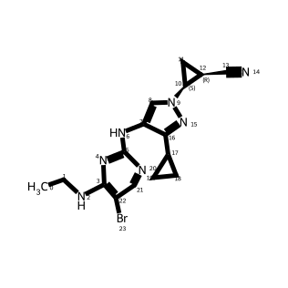 CCNc1nc(Nc2cn([C@H]3C[C@H]3C#N)nc2C2CC2)ncc1Br